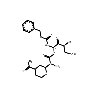 CCCCN(CC(=O)O)C(=O)[C@H](CC(=O)N(C)C1CN(C(=N)N)CCO1)NC(=O)OCc1ccccc1